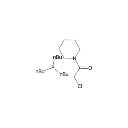 CCCCP(CCCC)CCCC.O=C(CCl)N1CCCCC1